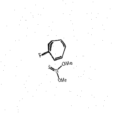 C[O][Ti](=[S])[O]C.Fc1ccccc1